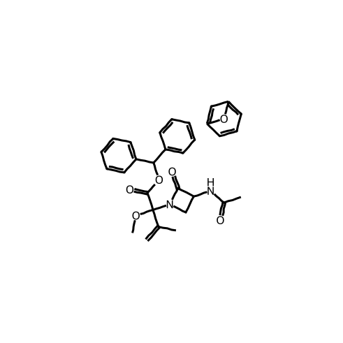 C=C(C)C(OC)(C(=O)OC(c1ccccc1)c1ccccc1)N1CC(NC(C)=O)C1=O.c1cc2cc(c1)O2